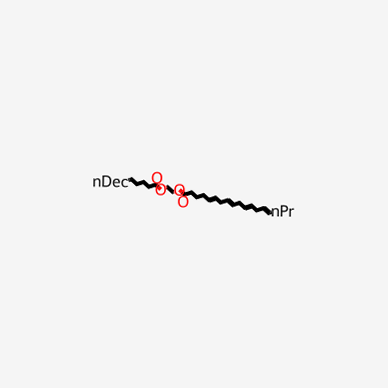 CCC/C=C/C/C=C/C/C=C/C/C=C/CCCC(=O)OCCOC(=O)CCCCCCCCCCCCCC